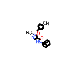 Cn1ncc(C(=O)NC2C3CC4CC(C3)CC2C4)c1OCc1ccc(C#N)cc1